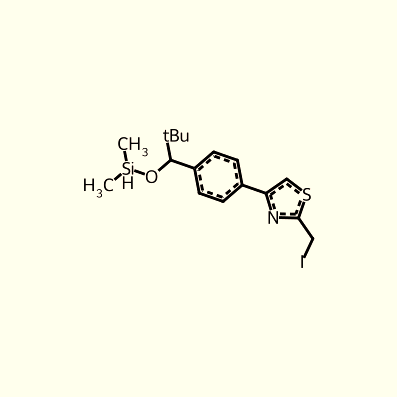 C[SiH](C)OC(c1ccc(-c2csc(CI)n2)cc1)C(C)(C)C